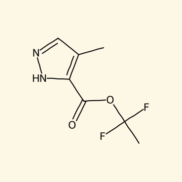 Cc1cn[nH]c1C(=O)OC(C)(F)F